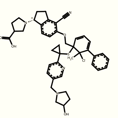 CC1(Cl)C(c2ccccc2)=CC=CC1(COc1ccc2c(c1C#N)CC[C@H]2N1CCC(C(=O)O)C1)SC1(c2ccc(CN3CCC(O)C3)cn2)CC1